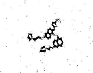 O=C1C(=Cc2ccc([N+](=O)[O-])s2)CCc2cc(OCCn3ccnc3)ccc21.O=C1CCCc2cc(OCCn3ccnc3)ccc21